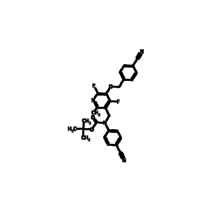 Cc1nc(F)c(OCc2ccc(C#N)cc2)c(F)c1CN(C(=O)OC(C)(C)C)c1ccc(C#N)cc1